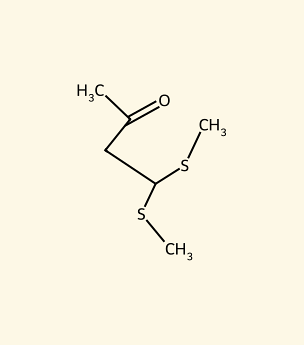 CSC(CC(C)=O)SC